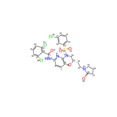 O=C(Nc1ccc2c(n1)N(S(=O)(=O)c1cccc(Cl)c1)C[C@H](CCN1CCCC1=O)O2)c1c(Cl)cccc1Cl